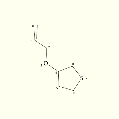 C=CCOC1CCSC1